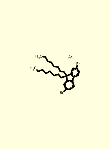 CCCCCCCCC1(CCCCCCCC)c2cc(Br)ccc2-c2ccc(Br)cc21.[Ar]